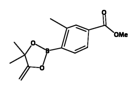 C=C1OB(c2ccc(C(=O)OC)cc2C)OC1(C)C